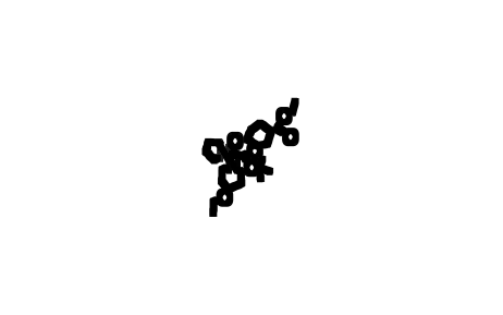 CCOC(=O)[C@H]1CC[C@H](OC(C(=O)OC(C)(C)C)(N2CCCC2)N2CCC(OCC)CC2)CC1